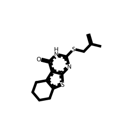 C=C(C)CSc1nc2sc3c(c2c(=O)[nH]1)CCCC3